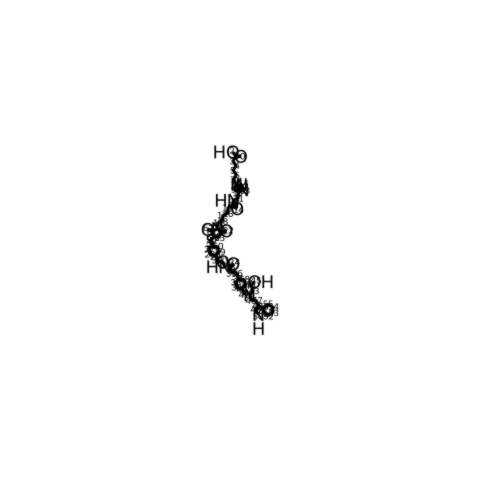 O=C(O)CCCCCn1cc(CNC(=O)CCCCCN2C(=O)CC(Sc3ccc(CONC(=O)/C=C/c4ccc(CN(CCO)CCc5c[nH]c6ccccc56)cc4)cc3)C2=O)nn1